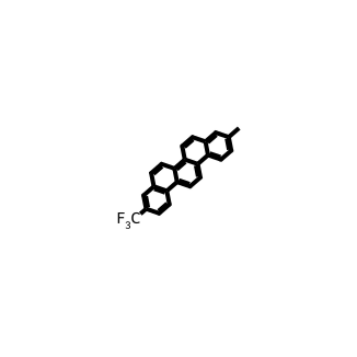 Cc1ccc2c(ccc3c2ccc2c4ccc(C(F)(F)F)cc4ccc23)c1